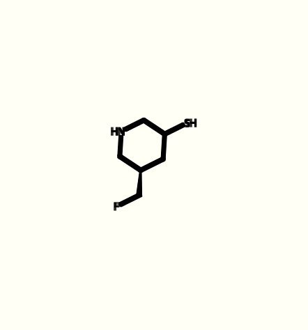 FC[C@H]1CNCC(S)C1